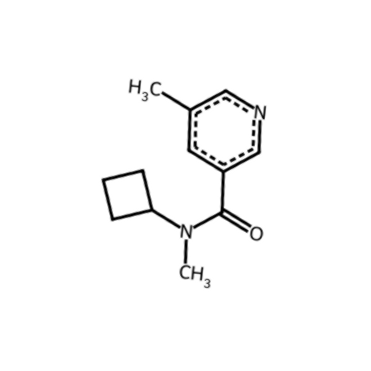 Cc1cncc(C(=O)N(C)C2CCC2)c1